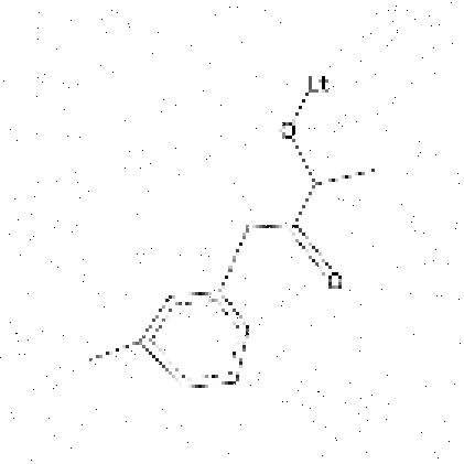 CCOC(C)C(=O)Cc1cccc(C)c1